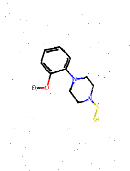 CCOc1ccccc1N1CCN(SS)CC1